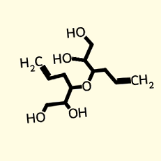 C=CCC(OC(CC=C)C(O)CO)C(O)CO